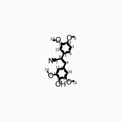 COc1ccc(/C(C#N)=C/c2cc(OC)c(O)c(OC)c2)cc1OC